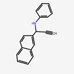 C#CC(Nc1ccccc1)c1ccc2ccccc2c1